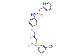 N#Cc1cccc([C@@H](O)CNCCc2ccc(NC(=O)Cc3ccccn3)cc2)c1